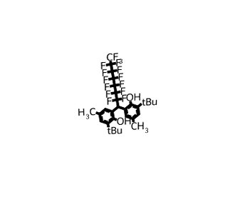 Cc1cc(C(c2cc(C)cc(C(C)(C)C)c2O)C(F)(F)C(F)(F)C(F)(F)C(F)(F)C(F)(F)C(F)(F)C(F)(F)F)c(O)c(C(C)(C)C)c1